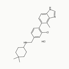 Cc1c(-c2ccc(CNC3CCC(C)(C)CC3)cc2Cl)ccc2[nH]cnc12.Cl